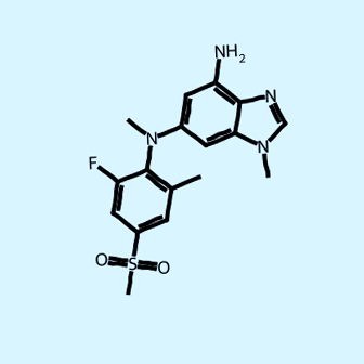 Cc1cc(S(C)(=O)=O)cc(F)c1N(C)c1cc(N)c2ncn(C)c2c1